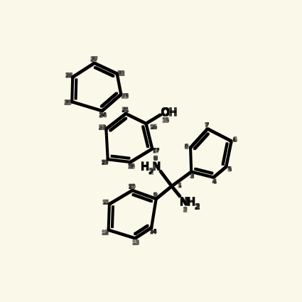 NC(N)(c1ccccc1)c1ccccc1.Oc1ccccc1.c1ccccc1